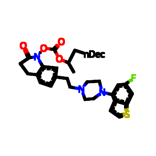 CCCCCCCCCCCC(C)OC(=O)ON1C(=O)CCc2ccc(CCN3CCN(c4cc(F)cc5sccc45)CC3)cc21